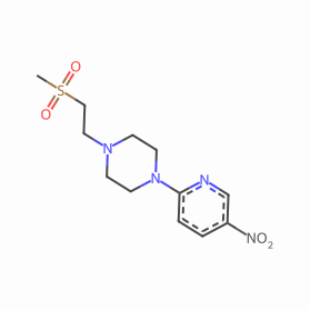 CS(=O)(=O)CCN1CCN(c2ccc([N+](=O)[O-])cn2)CC1